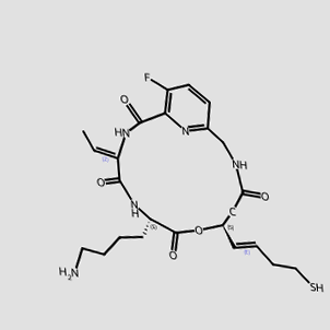 C/C=C1\NC(=O)c2nc(ccc2F)CNC(=O)C[C@@H](/C=C/CCS)OC(=O)[C@H](CCCCN)NC1=O